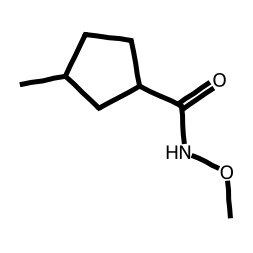 CONC(=O)C1CCC(C)C1